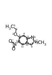 CCOc1cc2nn(C)cc2cc1[N+](=O)[O-]